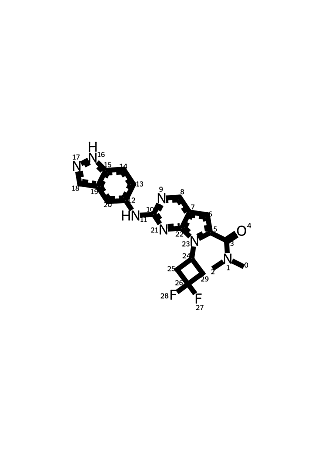 CN(C)C(=O)c1cc2cnc(Nc3ccc4[nH]ncc4c3)nc2n1C1CC(F)(F)C1